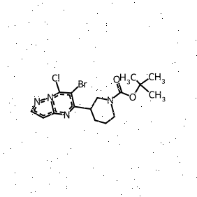 CC(C)(C)OC(=O)N1CCCC(c2nc3ccnn3c(Cl)c2Br)C1